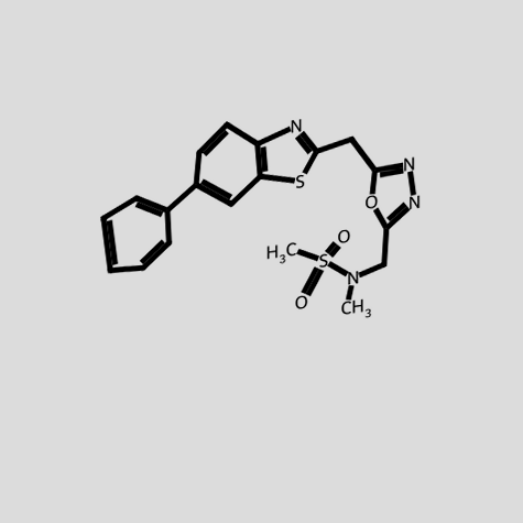 CN(Cc1nnc(Cc2nc3ccc(-c4ccccc4)cc3s2)o1)S(C)(=O)=O